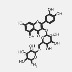 CC1OC(OCC2OC(Oc3c(-c4ccc(O)c(O)c4)oc4cc(O)cc(O)c4c3=O)[C@H](O)C(O)C2O)[C@H](O)[C@H](O)C1O